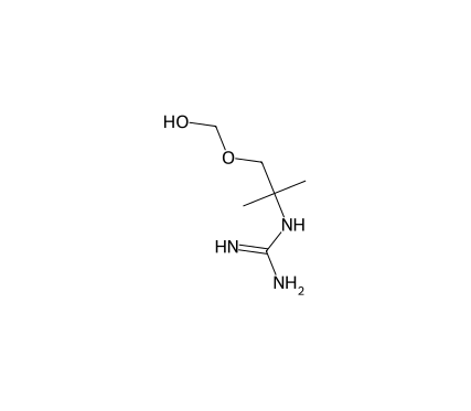 CC(C)(COCO)NC(=N)N